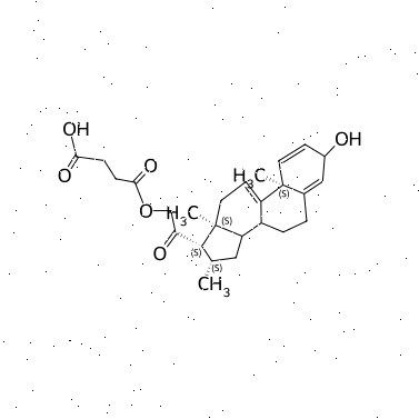 C[C@H]1CC2C3CCC4=CC(O)C=C[C@]4(C)C3=CC[C@]2(C)[C@H]1C(=O)COC(=O)CCC(=O)O